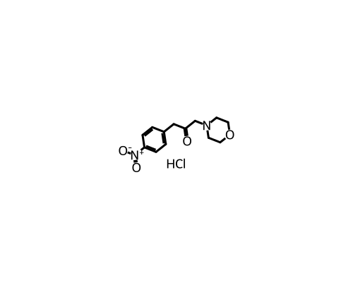 Cl.O=C(Cc1ccc([N+](=O)[O-])cc1)CN1CCOCC1